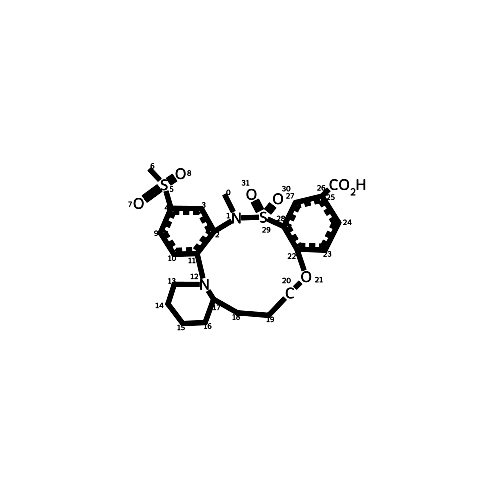 CN1c2cc(S(C)(=O)=O)ccc2N2CCCCC2CCCOc2ccc(C(=O)O)cc2S1(=O)=O